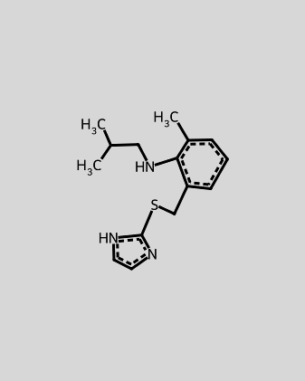 Cc1cccc(CSc2ncc[nH]2)c1NCC(C)C